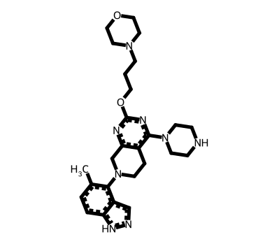 Cc1ccc2[nH]ncc2c1N1CCc2c(nc(OCCCN3CCOCC3)nc2N2CCNCC2)C1